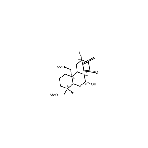 C=C1C(=O)[C@]23CC[C@H]1CC2[C@]1(COC)CCC[C@@](C)(COC)C1C[C@H]3O